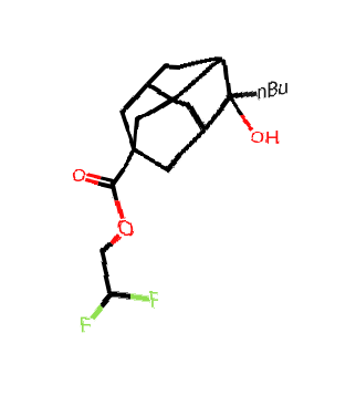 CCCCC1(O)C2CC3CC1CC(C(=O)OCC(F)F)(C3)C2